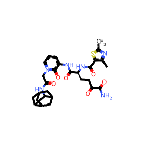 Cc1nc(C(F)(F)F)sc1C(=O)N[C@@H](CCC(=O)C(N)=O)C(=O)Nc1cccn(CC(=O)NC2C3CC4CC(C3)C2C4)c1=O